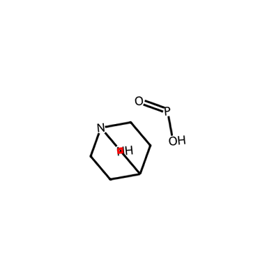 C1CN2CCC1CN2.O=PO